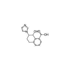 O=C(O)c1cccc2c1C(O)C(n1ccnc1)CC2